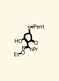 CCC/C(=N\OCC)C1=C(O)CC(SC(C)CCC)CC1=O